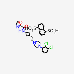 O=C(N[C@H]1C[C@H](CCN2CCN(c3cccc(Cl)c3Cl)CC2)C1)c1ncco1.O=S(=O)(O)c1cccc2c(S(=O)(=O)O)cccc12